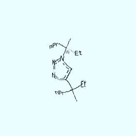 CCCC(C)(CC)c1cn([C@@](C)(CC)CCC)nn1